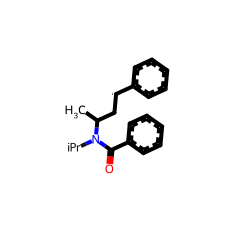 CC(C)N(C(=O)c1ccccc1)C(C)C[CH]c1ccccc1